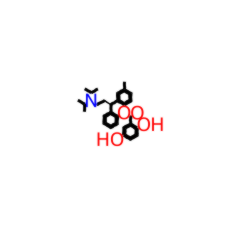 Cc1ccc(OC(=O)c2cc(O)ccc2O)c([C@H](CCN(C(C)C)C(C)C)c2ccccc2)c1